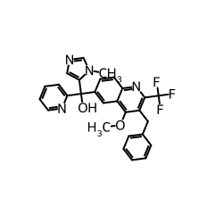 COc1c(Cc2ccccc2)c(C(F)(F)F)nc2ccc(C(O)(c3ccccn3)c3cncn3C)cc12